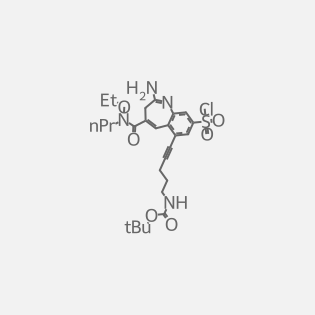 CCCN(OCC)C(=O)C1=Cc2c(C#CCCCNC(=O)OC(C)(C)C)cc(S(=O)(=O)Cl)cc2N=C(N)C1